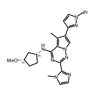 CO[C@H]1CC[C@@H](Nc2nc(-c3nccn3C)nn3cc(-c4ccn(C(C)C)n4)c(C)c23)C1